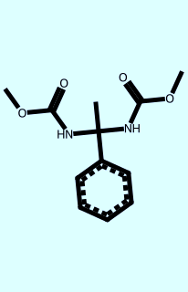 COC(=O)NC(C)(NC(=O)OC)c1ccccc1